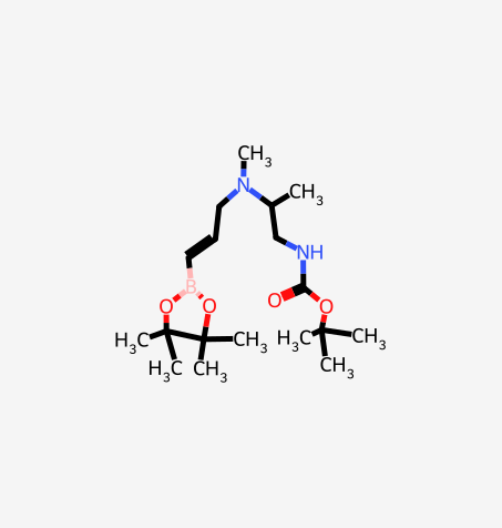 CC(CNC(=O)OC(C)(C)C)N(C)C/C=C/B1OC(C)(C)C(C)(C)O1